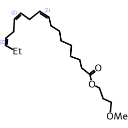 CC/C=C\C/C=C\C/C=C\CCCCCCCC(=O)OCCCOC